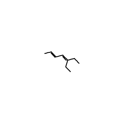 CC=CC=C(CC)CC